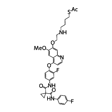 COc1cc2c(Oc3ccc(NC(=O)C4(C(=O)Nc5ccc(F)cc5)CC4)cc3F)ccnc2cc1OCCNCCCCSC(C)=O